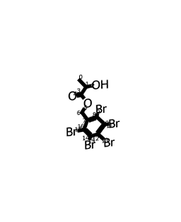 CC(O)C(=O)OCc1c(Br)c(Br)c(Br)c(Br)c1Br